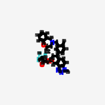 CCC1CN(Cc2cc(C(CC(=O)O)c3ccc4c(nnn4C)c3C)ccc2C)Cc2ccccc2O1.O=C(O)C(F)(F)F